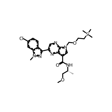 COC[C@@H](C)NC(=O)c1cn(COCC[Si](C)(C)C)c2ncc(-c3nn(C)c4cc(Cl)ccc34)nc12